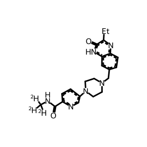 [2H]C([2H])([2H])NC(=O)c1ccc(N2CCN(Cc3ccc4nc(CC)c(=O)[nH]c4c3)CC2)cn1